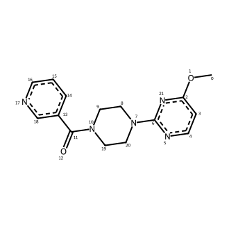 COc1ccnc(N2CCN(C(=O)c3cccnc3)CC2)n1